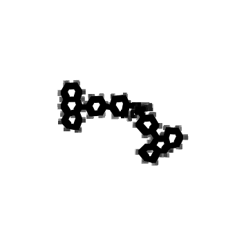 CCC(C)(Nc1ccc(-c2ccc(-c3c4ccccc4cc4ccccc34)cc2)cc1)c1ccc(-c2c3ccccc3cc3ccccc23)cc1